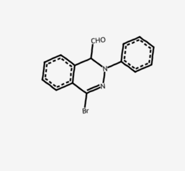 O=CC1c2ccccc2C(Br)=NN1c1ccccc1